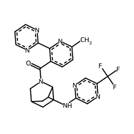 Cc1ccc(C(=O)N2CC3CCC2C(Nc2cnc(C(F)(F)F)cn2)C3)c(-c2ncccn2)n1